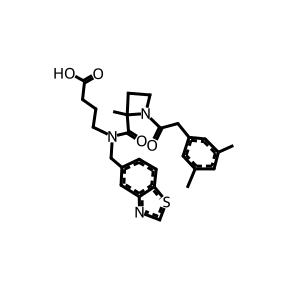 Cc1cc(C)cc(CC(=O)N2CCC2(C)C(=O)N(CCCC(=O)O)Cc2ccc3scnc3c2)c1